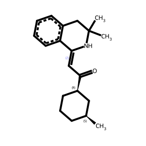 C[C@H]1CCC[C@@H](C(=O)/C=C2\NC(C)(C)Cc3ccccc32)C1